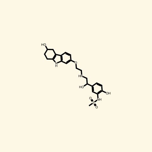 CS(=O)(=O)Nc1cc(C(O)CNCCOc2ccc3c4c([nH]c3c2)CCC(O)C4)ccc1O